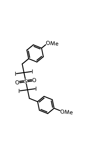 COc1ccc(CC(I)(I)S(=O)(=O)C(I)(I)Cc2ccc(OC)cc2)cc1